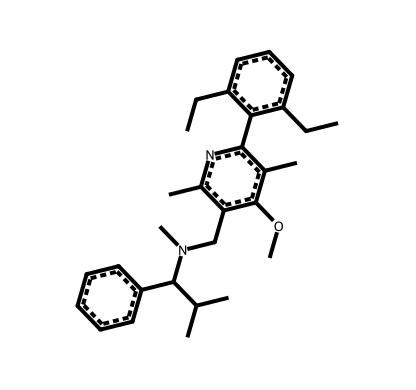 CCc1cccc(CC)c1-c1nc(C)c(CN(C)C(c2ccccc2)C(C)C)c(OC)c1C